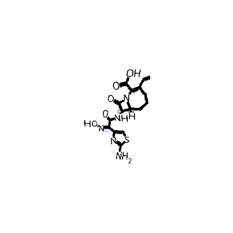 C=CC1=C(C(=O)O)N2C(=O)[C@@H](NC(=O)/C(=N\O)c3csc(N)n3)[C@H]2CCC1